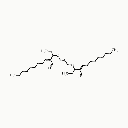 CCCCCCCCC=C(C=O)C(CC)OCOCOC(CC)C(C=O)=CCCCCCCCC